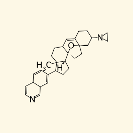 CC12CCC3C=C4CCC(N5CC5)C[C@]45CC[C@]3(O5)[C@@H]1CCC2C1=CC2C=NC=CC2C=C1